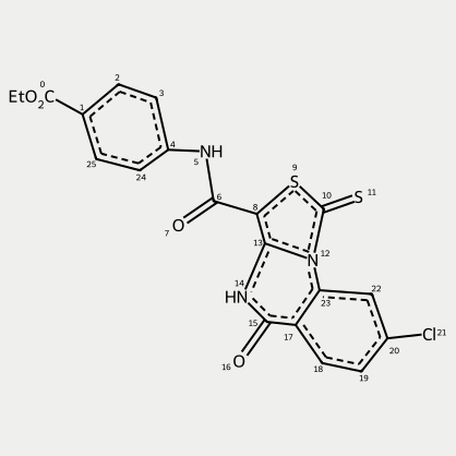 CCOC(=O)c1ccc(NC(=O)c2sc(=S)n3c2[nH]c(=O)c2ccc(Cl)cc23)cc1